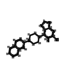 Clc1nc2ncnc-2c(N2CCN(c3ccc4ccccc4n3)CC2)[nH]1